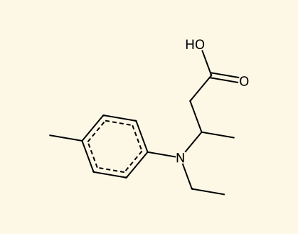 CCN(c1ccc(C)cc1)C(C)CC(=O)O